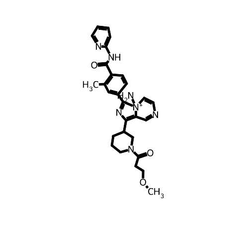 COCCC(=O)N1CCCC(C2=C3C=NC=C[N+]3(N)C(c3ccc(C(=O)Nc4ccccn4)c(C)c3)=N2)C1